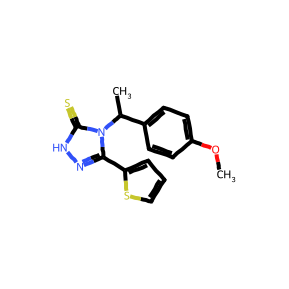 COc1ccc(C(C)n2c(-c3cccs3)n[nH]c2=S)cc1